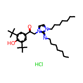 CCCCCCCN=c1n(CCCCCCC)ccn1CC(=O)c1cc(C(C)(C)C)c(O)c(C(C)(C)C)c1.Cl